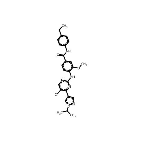 CCc1ccc(NC(=O)c2ccc(Nc3ncc(Cl)c(-c4cnn(C(C)C)c4)n3)c(OC)c2)cc1